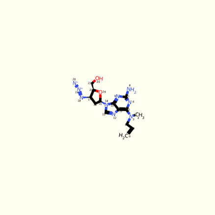 C=CCN(C)c1nc(N)nc2c1ncn2[C@H]1C[C@@H](N=[N+]=[N-])[C@@H](CO)O1